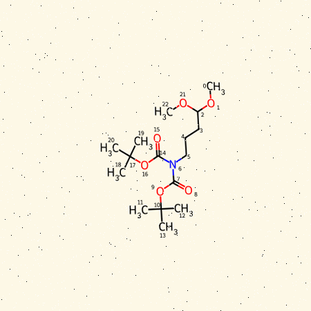 COC(CCCN(C(=O)OC(C)(C)C)C(=O)OC(C)(C)C)OC